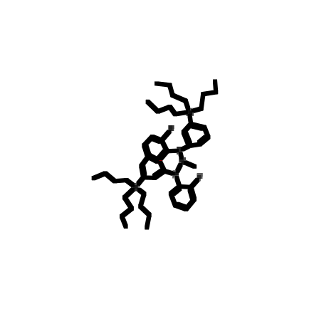 CCCC[Si](CCCC)(CCCC)c1cccc(P(c2ccccc2F)N(C)P(c2cccc([Si](CCCC)(CCCC)CCCC)c2)c2ccccc2F)c1